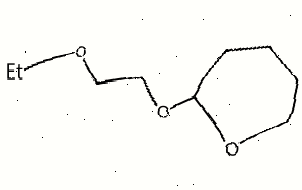 CCOCCOC1CCCCO1